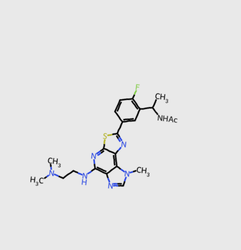 CC(=O)NC(C)c1cc(-c2nc3c(nc(NCCN(C)C)c4ncn(C)c43)s2)ccc1F